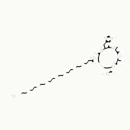 COCCOCCOCCOCCOCCOCCOCCOCCC(=O)N[C@H]1CSSC[C@@H](C(N)=O)NC(=O)C(C(C)C)NC(=O)C(C)NC(=O)C(Cc2c[nH]cn2)NC1=O